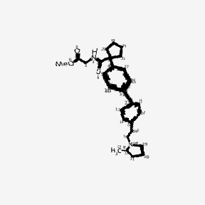 COC(=O)CNC(=O)C1(c2ccc(-c3ccc(CCN4CCC[C@H]4C)cc3)cc2)CCCC1